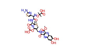 COC(=O)c1nc2cc(O)c(O)cc2nc1C(=O)NCC1=C(OC(=O)O)N2C(=O)C(NC(=O)/C(=N\OC(C)(C)C(=O)O)c3csc(N)n3)[C@@H]2SC1